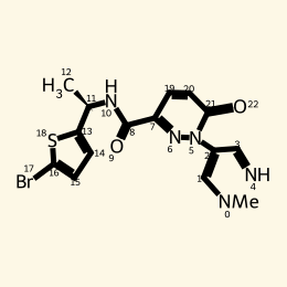 CN/C=C(\C=N)n1nc(C(=O)N[C@H](C)c2ccc(Br)s2)ccc1=O